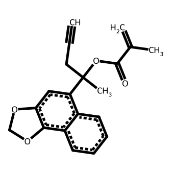 C#CCC(C)(OC(=O)C(=C)C)c1cc2c(c3ccccc13)OCO2